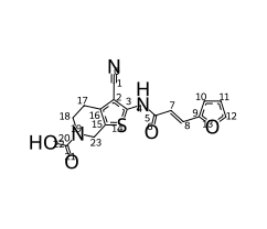 N#Cc1c(NC(=O)C=Cc2ccco2)sc2c1CCN(C(=O)O)C2